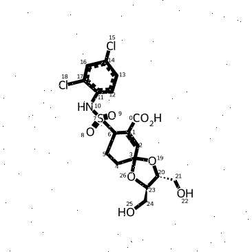 O=C(O)C1=CC2(CCC1S(=O)(=O)Nc1ccc(Cl)cc1Cl)O[C@H](CO)[C@@H](CO)O2